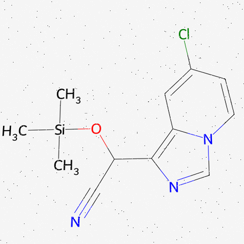 C[Si](C)(C)OC(C#N)c1ncn2ccc(Cl)cc12